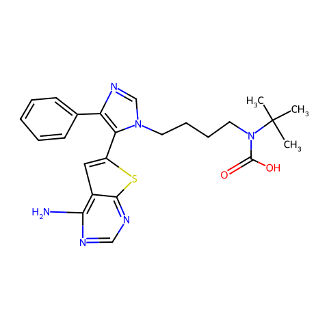 CC(C)(C)N(CCCCn1cnc(-c2ccccc2)c1-c1cc2c(N)ncnc2s1)C(=O)O